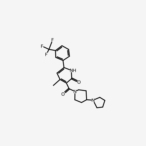 Cc1cc(-c2cccc(C(F)(F)F)c2)[nH]c(=O)c1C(=O)N1CCC(N2CCCC2)CC1